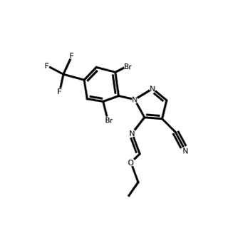 CCOC=Nc1c(C#N)cnn1-c1c(Br)cc(C(F)(F)F)cc1Br